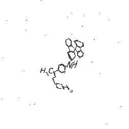 C/C=C\C=C(/C)c1ccc(Nc2ccc3c(c2)C2(c4ccccc4-c4ccccc42)c2ccccc2-3)cc1